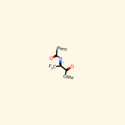 CCCC(C)C(=O)/N=C(/C(=O)OC)C(F)(F)F